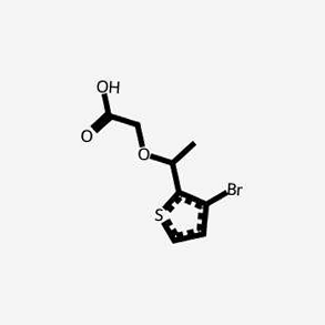 CC(OCC(=O)O)c1sccc1Br